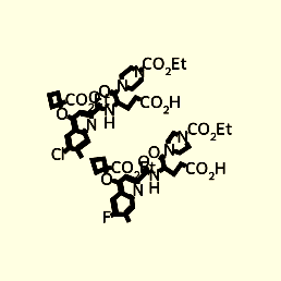 CCOC(=O)N1CCN(C(=O)C(CCC(=O)O)NC(=O)c2cc(OC3(C(=O)OCC)CCC3)c3cc(Cl)c(C)cc3n2)CC1.CCOC(=O)N1CCN(C(=O)C(CCC(=O)O)NC(=O)c2cc(OC3(C(=O)OCC)CCC3)c3cc(F)c(C)cc3n2)CC1